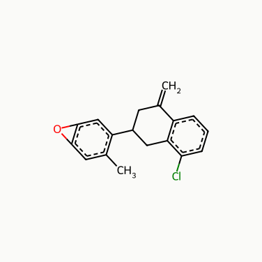 C=C1CC(c2cc3c(cc2C)O3)Cc2c(Cl)cccc21